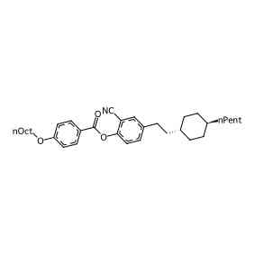 CCCCCCCCOc1ccc(C(=O)Oc2ccc(CC[C@H]3CC[C@H](CCCCC)CC3)cc2C#N)cc1